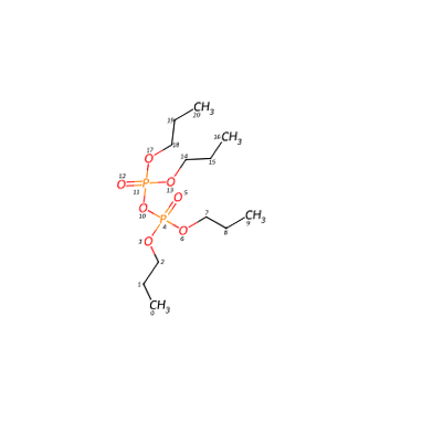 CCCOP(=O)(OCCC)OP(=O)(OCCC)OCCC